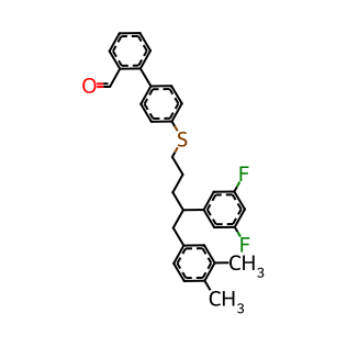 Cc1ccc(CC(CCCSc2ccc(-c3ccccc3C=O)cc2)c2cc(F)cc(F)c2)cc1C